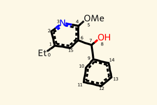 CCc1cnc(OC)c(C(O)c2ccccc2)c1